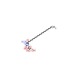 CCCCCCCCCCCCCCCCCCCCCC(=O)c1cn([C@@H]2O[C@H](CO)[C@@H](O)[C@@H]2O)c(=O)nc1N